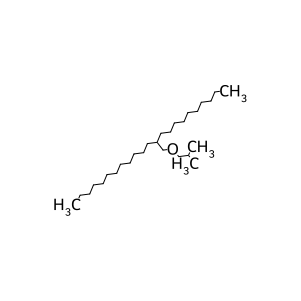 CCCCCCCCCCCCC(CCCCCCCCCC)COCC(C)C